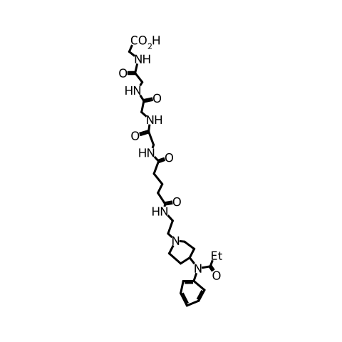 CCC(=O)N(c1ccccc1)C1CCN(CCNC(=O)CCCC(=O)NCC(=O)NCC(=O)NCC(=O)NCC(=O)O)CC1